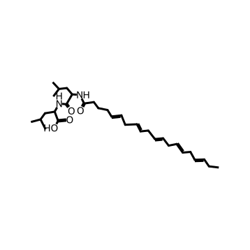 CCC=CCC=CCC=CCC=CCC=CCCCC(=O)NC(CC(C)C)C(=O)NC(CC(C)C)C(=O)O